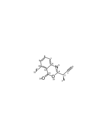 C#C[C@@H](C)c1nc2cccc(F)c2c(=O)o1